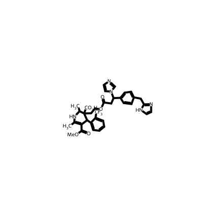 COC(=O)C1=C(C)NC(C)C(CCOC(=O)CC(c2ccc(Cc3ncc[nH]3)cc2)n2ccnc2)(C(=O)O)C1c1ccccc1C(F)(F)F